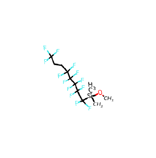 CO[Si](C)(C)C(F)(F)C(F)(F)C(F)(F)C(F)(F)C(F)(F)CCC(F)(F)F